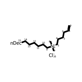 C=CCCCC[N+](C)(C)CCCCCCCCCCCCCCCC.[Cl-]